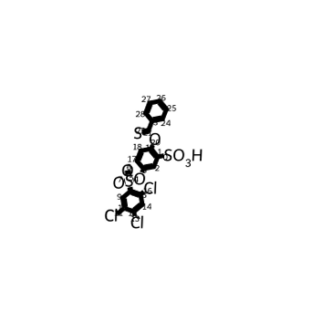 O=S(=O)(O)c1cc(OS(=O)(=O)c2cc(Cl)c(Cl)cc2Cl)ccc1OC(=S)c1ccccc1